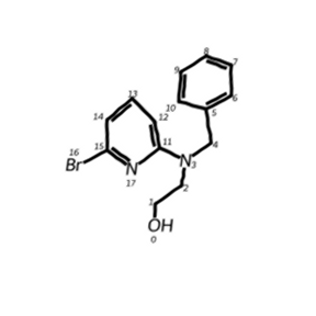 OCCN(Cc1ccccc1)c1cccc(Br)n1